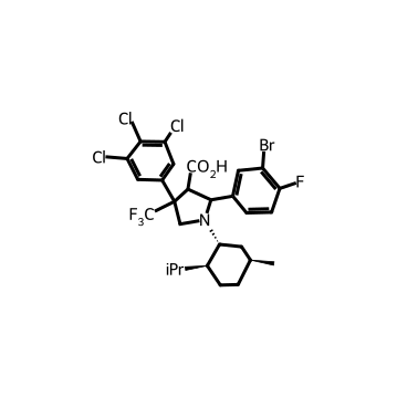 CC(C)[C@@H]1CC[C@H](C)C[C@H]1N1CC(c2cc(Cl)c(Cl)c(Cl)c2)(C(F)(F)F)C(C(=O)O)C1c1ccc(F)c(Br)c1